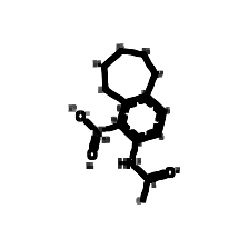 CC(=O)Nc1ccc2c(c1[N+](=O)[O-])CCCCC2